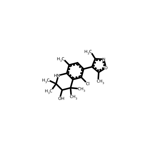 Cc1cc(-c2c(C)noc2C)c(Cl)c2c1NC(C)(C)C(O)C2(C)C